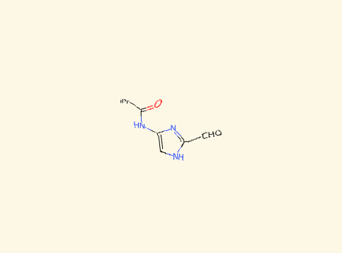 CC(C)C(=O)Nc1c[nH]c(C=O)n1